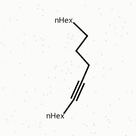 [CH2]CCCCCCCCC#CCCCCCC